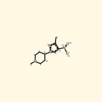 Cc1nn(C2CCN(C)CC2)cc1[N+](=O)[O-]